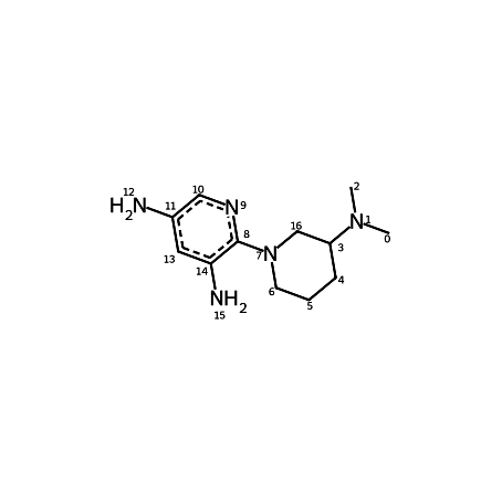 CN(C)C1CCCN(c2ncc(N)cc2N)C1